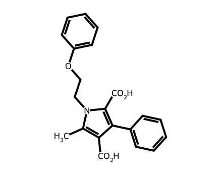 Cc1c(C(=O)O)c(-c2ccccc2)c(C(=O)O)n1CCOc1ccccc1